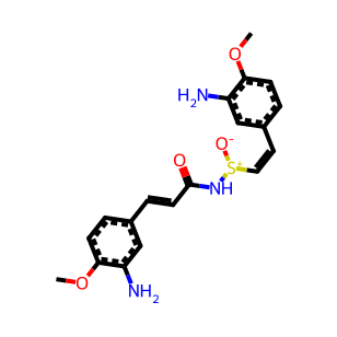 COc1ccc(/C=C\[S+]([O-])NC(=O)/C=C/c2ccc(OC)c(N)c2)cc1N